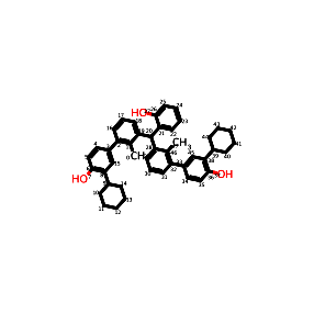 Cc1c(-c2ccc(O)c(C3CCCCC3)c2)cccc1C(c1ccccc1O)c1cccc(-c2ccc(O)c(C3CCCCC3)c2)c1C